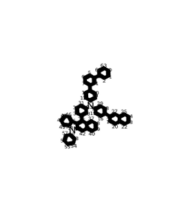 c1ccc(-c2cccc(-c3ccc(N(c4ccc(-c5ccc6ccccc6c5)cc4)c4cccc(-c5c6ccccc6cc6c5c5ccccc5n6-c5ccccc5)c4)cc3)c2)cc1